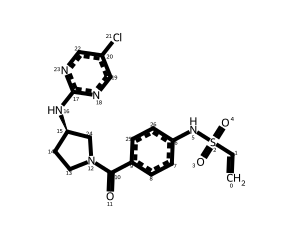 C=CS(=O)(=O)Nc1ccc(C(=O)N2CC[C@@H](Nc3ncc(Cl)cn3)C2)cc1